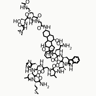 CSCC[C@H](NC(=O)[C@H](CC(C)C)NC(=O)[C@H](Cc1c[nH]cn1)NC(=O)CNC(=O)[C@@H](NC(=O)[C@H](C)NC(=O)[C@H](Cc1c[nH]c2ccccc12)NC(=O)[C@H](CCC(N)=O)NC(=O)CCC1O[C@H]2CC3C4CC[C@H](NC(=O)CNC(=O)[C@H](CSCNC(C)=O)NC(=O)[C@H](CO)NC(=O)CN(C)C)CC4C[C@@H](O)C3C3CC[C@H]1[C@]32C)C(C)C)C(N)=O